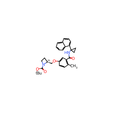 Cc1ccc(OC[C@@H]2CCN2C(=O)OC(C)(C)C)cc1C(=O)NC1(c2cccc3ccccc23)CC1